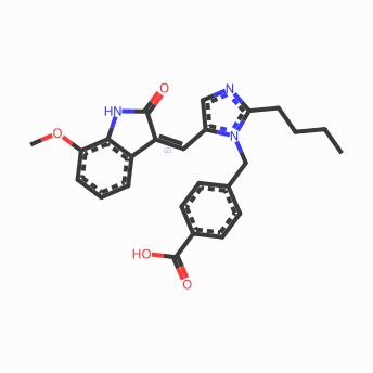 CCCCc1ncc(/C=C2\C(=O)Nc3c(OC)cccc32)n1Cc1ccc(C(=O)O)cc1